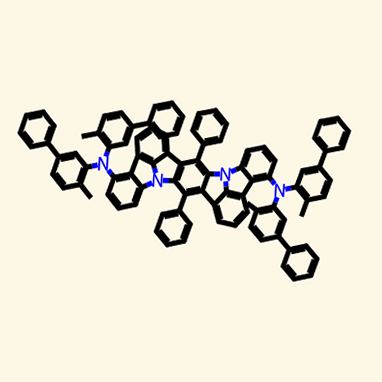 Cc1ccc(-c2ccccc2)cc1N(c1cc(-c2ccccc2)ccc1C)c1cccc2c1c1cccc3c4c(-c5ccccc5)c5c(c(-c6ccccc6)c4n2c13)c1cccc2c3c(N(c4cc(-c6ccccc6)ccc4C)c4cc(-c6ccccc6)ccc4C)cccc3n5c21